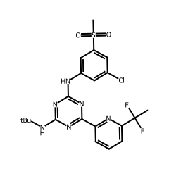 CC(C)(C)Nc1nc(Nc2cc(Cl)cc(S(C)(=O)=O)c2)nc(-c2cccc(C(C)(F)F)n2)n1